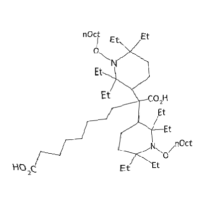 CCCCCCCCON1C(CC)(CC)CCC(C(CCCCCCCC(=O)O)(C(=O)O)C2CCC(CC)(CC)N(OCCCCCCCC)C2(CC)CC)C1(CC)CC